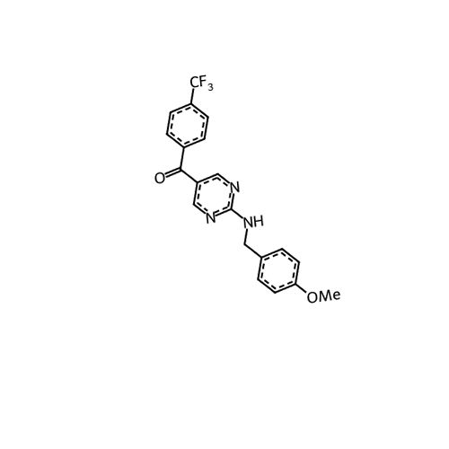 COc1ccc(CNc2ncc(C(=O)c3ccc(C(F)(F)F)cc3)cn2)cc1